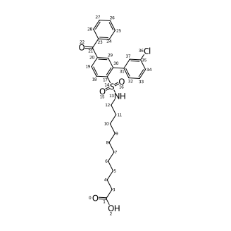 O=C(O)CCCCCCCCCCNS(=O)(=O)c1ccc(C(=O)c2ccccc2)cc1-c1cccc(Cl)c1